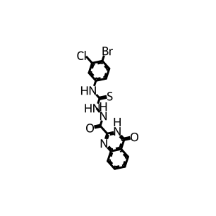 O=C(NNC(=S)Nc1ccc(Br)c(Cl)c1)c1nc2ccccc2c(=O)[nH]1